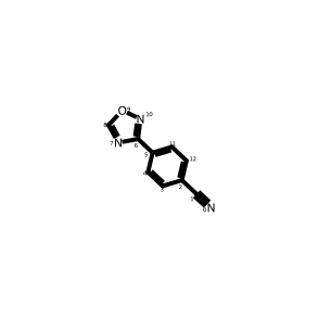 N#Cc1ccc(-c2n[c]on2)cc1